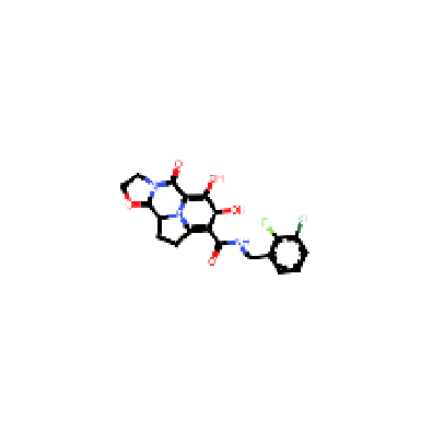 O=C(NCc1cccc(Cl)c1F)C1=C2CCC3C4OCCN4C(=O)C(=C(O)C1O)N23